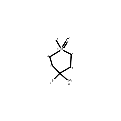 CC(C)C1(F)CCP(C)(=O)CC1